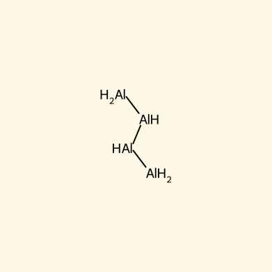 [AlH2][AlH][AlH][AlH2]